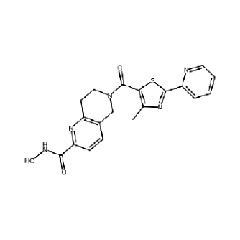 Cc1nc(-c2ccccn2)sc1C(=O)N1CCc2nc(C(=O)NO)ccc2C1